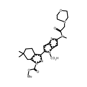 CN(C(=O)CN1CCOCC1)c1cc2c(cc(-c3nn(C(=O)OC(C)(C)C)c4c3CCC(C)(C)C4)n2C(=O)O)s1